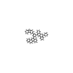 c1ccc(-c2cc3c4ccccc4c(-c4cc(-c5ccc6oc7ccccc7c6c5)cc(-c5cc6c7ccccc7ccc6c6ccccc56)c4)cc3c3ccccc23)cc1